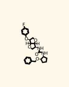 O=C(N[C@H]1CO[C@H]2[C@@H]1OC[C@@H]2Oc1ccc(F)cc1)N[C@H]1CCC[C@@H]1OCc1ccccc1